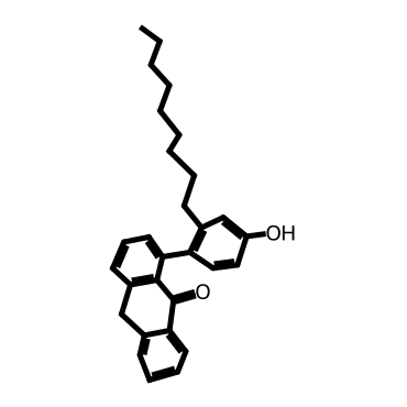 CCCCCCCCCc1cc(O)ccc1-c1cccc2c1C(=O)c1ccccc1C2